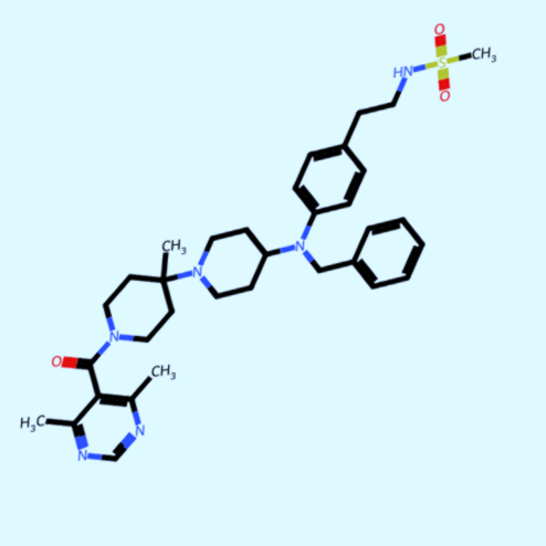 Cc1ncnc(C)c1C(=O)N1CCC(C)(N2CCC(N(Cc3ccccc3)c3ccc(CCNS(C)(=O)=O)cc3)CC2)CC1